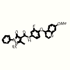 CCn1c(C)c(C(=O)Nc2ccc(Oc3ccnc4cc(OC)ccc34)c(F)c2)c(=O)n1-c1ccccc1